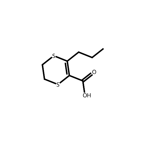 CCCC1=C(C(=O)O)SCCS1